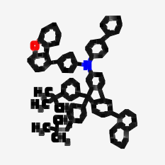 CC(C)(C)Cc1ccc(C2(c3cccc(C(C)(C)C)c3)c3ccc(-c4cccc5ccccc45)cc3-c3ccc(N(c4ccc(-c5ccccc5)cc4)c4ccc(-c5cccc6oc7ccccc7c56)cc4)cc32)cc1